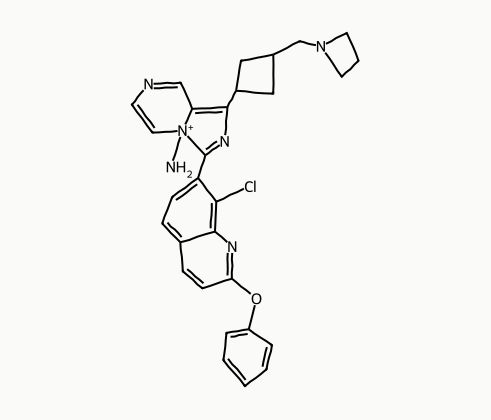 N[N+]12C=CN=CC1=C(C1CC(CN3CCC3)C1)N=C2c1ccc2ccc(Oc3ccccc3)nc2c1Cl